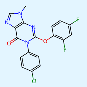 Cn1cnc2c(=O)n(-c3ccc(Cl)cc3)c(Oc3ccc(F)cc3F)nc21